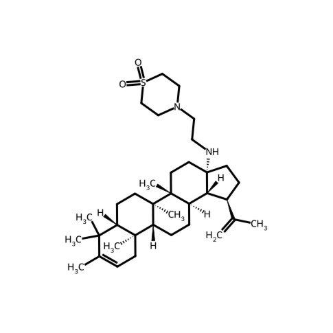 C=C(C)[C@@H]1CC[C@]2(NCCN3CCS(=O)(=O)CC3)CC[C@]3(C)[C@H](CC[C@@H]4[C@@]5(C)CC=C(C)C(C)(C)[C@@H]5CC[C@]43C)[C@@H]12